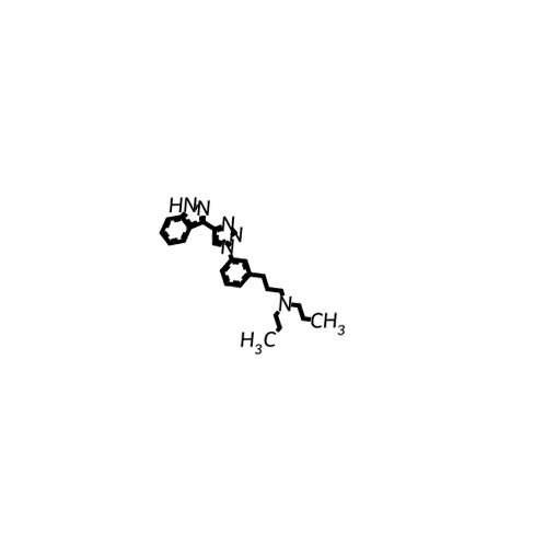 CCCN(CCC)CCCc1cccc(-n2cc(-c3n[nH]c4ccccc34)nn2)c1